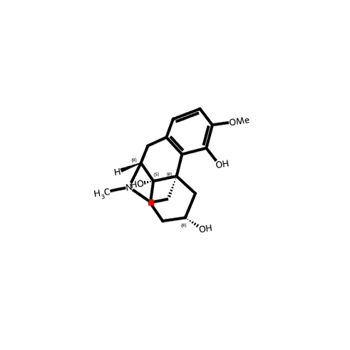 COc1ccc2c(c1O)[C@]13CCN(C)[C@H](C2)[C@]1(O)CC[C@@H](O)C3